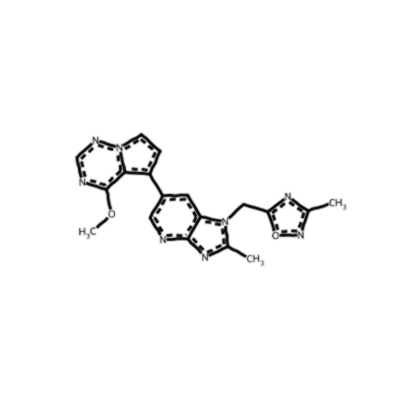 COc1ncnn2ccc(-c3cnc4nc(C)n(Cc5nc(C)no5)c4c3)c12